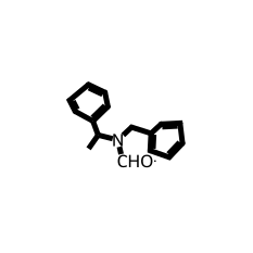 CC(c1ccccc1)N([C]=O)Cc1ccccc1